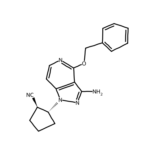 N#C[C@@H]1CCC[C@H]1n1nc(N)c2c(OCc3ccccc3)nccc21